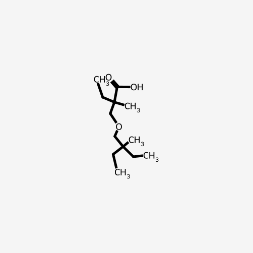 CCC(C)(CC)COCC(C)(CC)C(=O)O